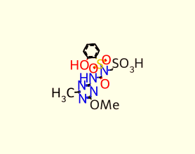 COc1nc(C)nc(NC(=O)N(CS(=O)(=O)O)S(=O)(=O)c2ccccc2O)n1